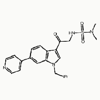 CC(C)Cn1cc(C(=O)CNS(=O)(=O)N(C)C)c2ccc(-c3ccncc3)cc21